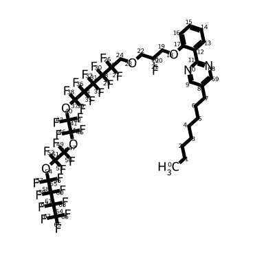 CCCCCCCCc1cnc(-c2ccccc2OC[C@H](F)COCC(F)(F)C(F)(F)C(F)(F)C(F)(F)C(F)(F)OC(F)(F)C(F)(F)OC(F)(F)C(F)(F)OC(F)(F)C(F)(F)C(F)(F)C(F)(F)F)nc1